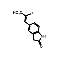 CC(C)(C)/C(=C\c1ccc2c(c1)CC(=O)N2)C(=O)O